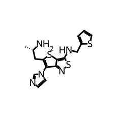 C[C@H](N)Cc1sc2c(NCc3cccs3)snc2c1-n1ccnc1